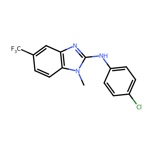 Cn1c(Nc2ccc(Cl)cc2)nc2cc(C(F)(F)F)ccc21